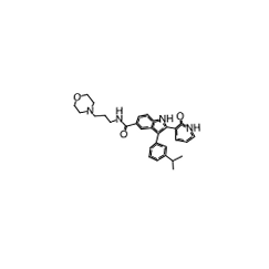 CC(C)c1cccc(-c2c(-c3ccc[nH]c3=O)[nH]c3ccc(C(=O)NCCCN4CCOCC4)cc23)c1